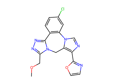 COCc1nnc2n1Cc1c(-c3ncco3)ncn1-c1cc(Cl)ccc1-2